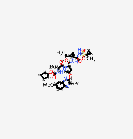 C=C[C@@H]1C[C@]1(NC(=O)[C@@H]1C[C@@H](Oc2nc3cc(OC)ccc3nc2C(C)C)CN1C(=O)[C@@H](NC(=O)OC1CCCC1)C(C)(C)C)C(=O)NS(=O)(=O)C1(C)CC1